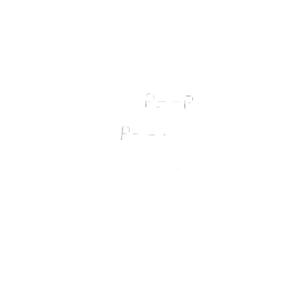 C=P1=P2=PC12CC